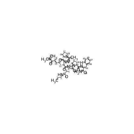 CCCNC(=O)CC[C@H](NC(=O)[C@H](CC/C=C/C(=O)N(C)C)NC(=O)[C@@H]1CCCN1C(C)=O)C(=O)N1CCC[C@H]1C(=O)N[C@@H](Cc1ccccc1)C(N)=O